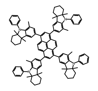 Cc1cc(-c2cc(-c3cc(C)c4c(c3)C3(C)CCCCC3(C)N4c3ccccc3)c3ccc4c(-c5cc(C)c6c(c5)C5(C)CCCCC5(C)N6c5ccccc5)cc(-c5cc(C)c6c(c5)C5(C)CCCCC5(C)N6c5ccccc5)c5ccc2c3c54)cc2c1N(c1ccccc1)C1(C)CCCCC21C